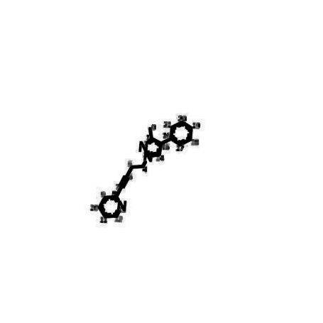 Cc1nn(CCC#Cc2ccccn2)cc1-c1ccccc1